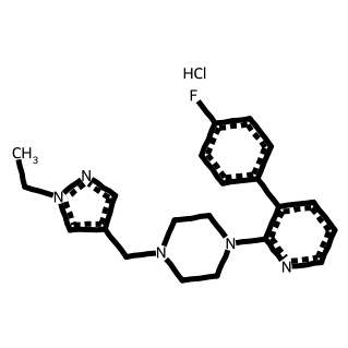 CCn1cc(CN2CCN(c3ncccc3-c3ccc(F)cc3)CC2)cn1.Cl